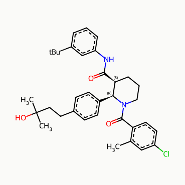 Cc1cc(Cl)ccc1C(=O)N1CCC[C@H](C(=O)Nc2cccc(C(C)(C)C)c2)[C@@H]1c1ccc(CCC(C)(C)O)cc1